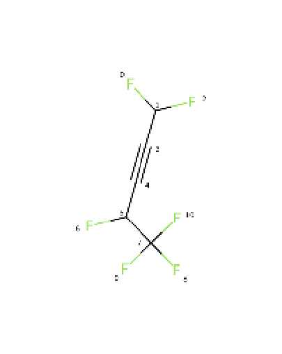 FC(F)C#CC(F)C(F)(F)F